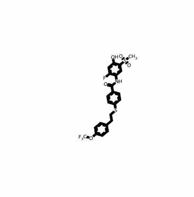 CS(=O)(=O)c1cc(NC(=O)c2ccc(SCCc3ccc(OC(F)(F)F)cc3)cc2)c(F)cc1O